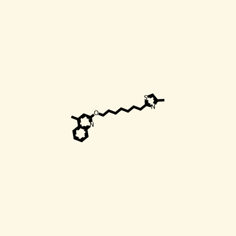 Cc1csc(CCCCCCCOc2cc(C)c3ccccc3n2)n1